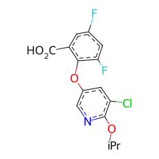 CC(C)Oc1ncc(Oc2c(F)cc(F)cc2C(=O)O)cc1Cl